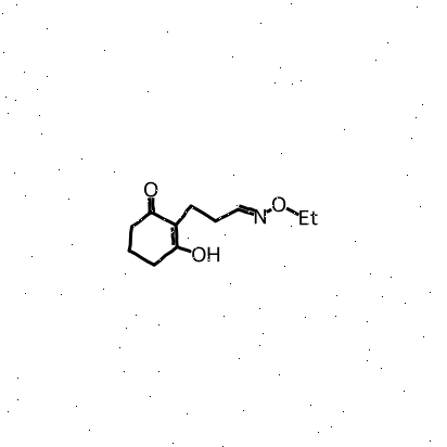 CCON=CCCC1=C(O)CCCC1=O